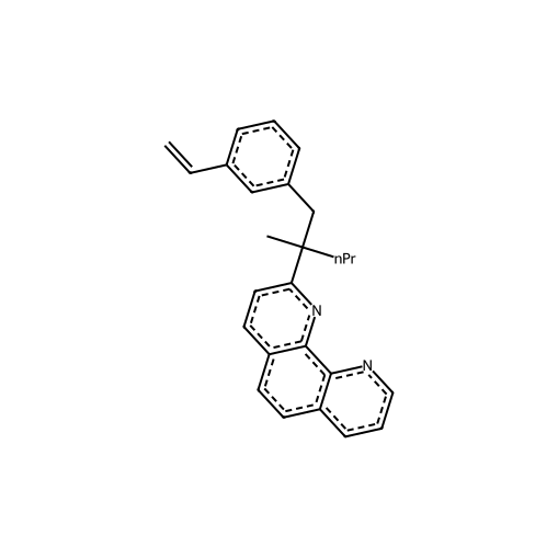 C=Cc1cccc(CC(C)(CCC)c2ccc3ccc4cccnc4c3n2)c1